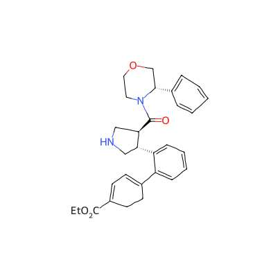 CCOC(=O)C1=CC=C(c2ccccc2[C@@H]2CNC[C@H]2C(=O)N2CCOC[C@@H]2c2ccccc2)CC1